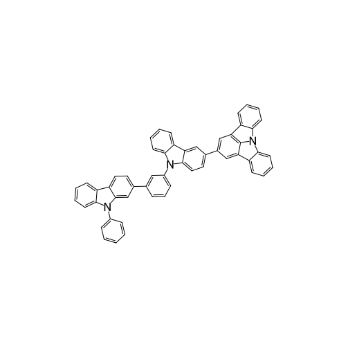 c1ccc(-n2c3ccccc3c3ccc(-c4cccc(-n5c6ccccc6c6cc(-c7cc8c9ccccc9n9c%10ccccc%10c(c7)c89)ccc65)c4)cc32)cc1